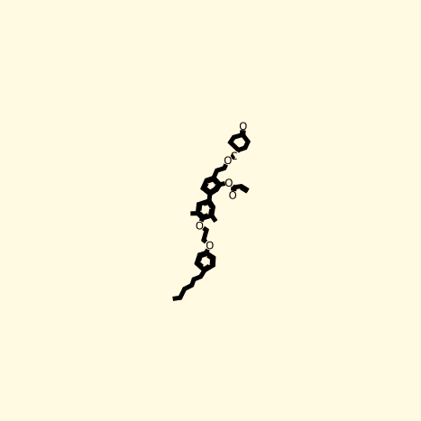 C=CC(=O)Oc1cc(-c2cc(C)c(OCCOc3ccc(CCCCCC)cc3)c(C)c2)ccc1CCOCC1CCC(=O)CC1